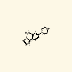 Nc1nc(N2CCNCC2)ccc1-c1nccs1